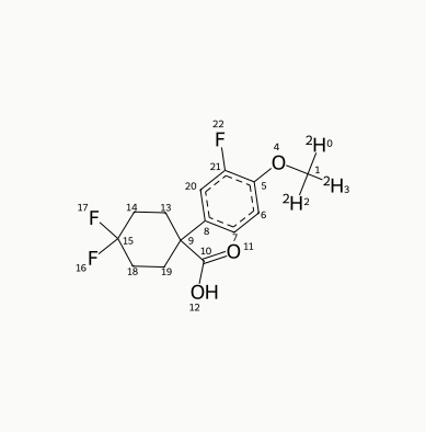 [2H]C([2H])([2H])Oc1ccc(C2(C(=O)O)CCC(F)(F)CC2)cc1F